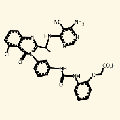 C[C@H](Nc1ncnc(N)c1C#N)c1nc2cccc(Cl)c2c(=O)n1-c1cccc(NC(=O)Nc2ccccc2OCC(=O)O)c1